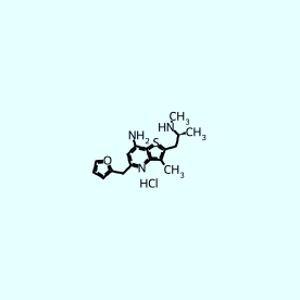 CN[C@@H](C)Cc1sc2c(N)cc(Cc3ccco3)nc2c1C.Cl